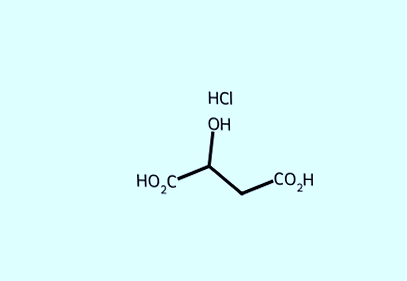 Cl.O=C(O)CC(O)C(=O)O